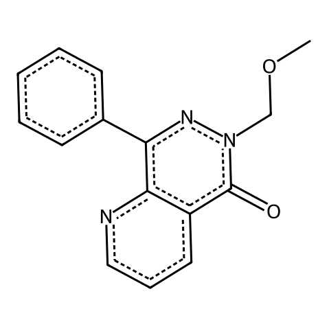 COCn1nc(-c2ccccc2)c2ncccc2c1=O